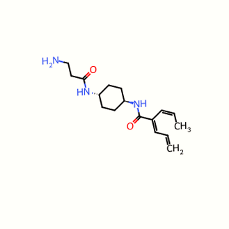 C=C/C=C(\C=C/C)C(=O)N[C@H]1CC[C@H](NC(=O)CCN)CC1